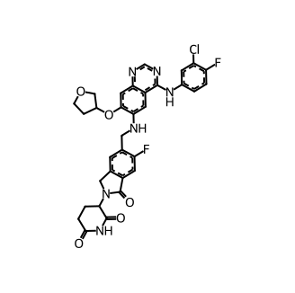 O=C1CCC(N2Cc3cc(CNc4cc5c(Nc6ccc(F)c(Cl)c6)ncnc5cc4OC4CCOC4)c(F)cc3C2=O)C(=O)N1